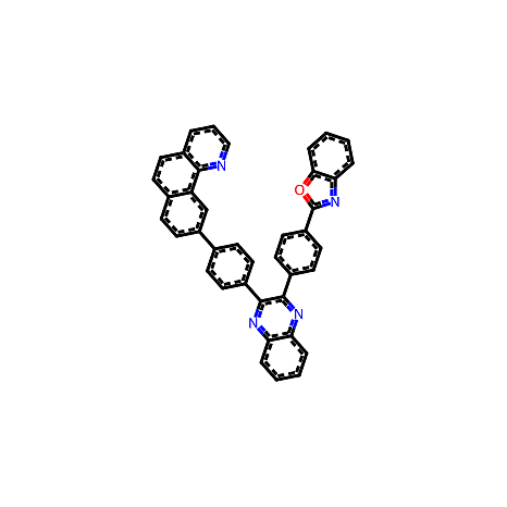 c1cnc2c(c1)ccc1ccc(-c3ccc(-c4nc5ccccc5nc4-c4ccc(-c5nc6ccccc6o5)cc4)cc3)cc12